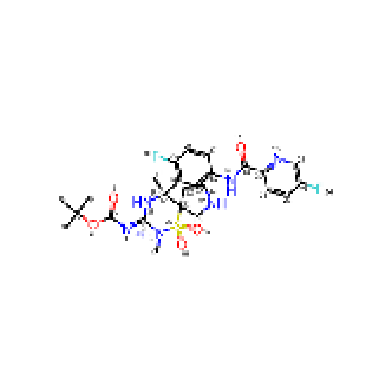 CN1/C(=N/C(=O)OC(C)(C)C)N[C@](C)(c2cc(NC(=O)c3ccc(F)cn3)ccc2F)C2(CCNC2)S1(=O)=O